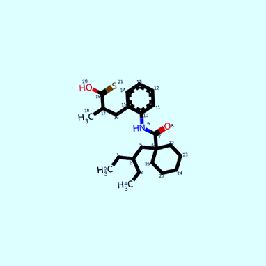 CCC(CC)CC1(C(=O)Nc2ccccc2CC(C)C(O)=S)CCCCC1